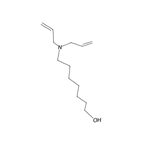 C=CCN(CC=C)CCCCCCCO